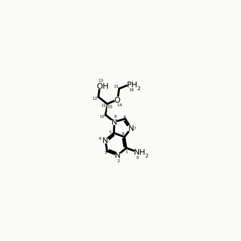 Nc1ncnc2c1ncn2C[C@@H](CO)OCP